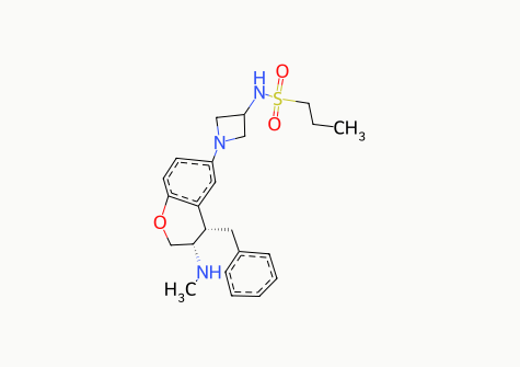 CCCS(=O)(=O)NC1CN(c2ccc3c(c2)[C@H](Cc2ccccc2)[C@H](NC)CO3)C1